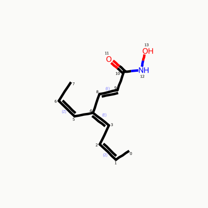 C\C=C/C=C(\C=C/C)/C=C/C(=O)NO